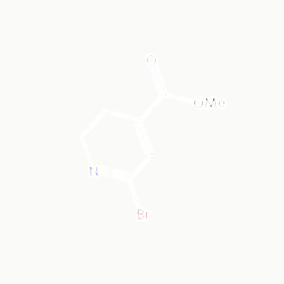 COC(=O)C1=CC(Br)=NCC1